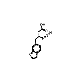 [N-]=[N+]=N[C@@H](CC(=O)O)Cc1ccc2ccsc2c1